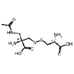 CC(=O)NC[C@](N)(CSSC[C@H](N)C(=O)O)C(=O)O